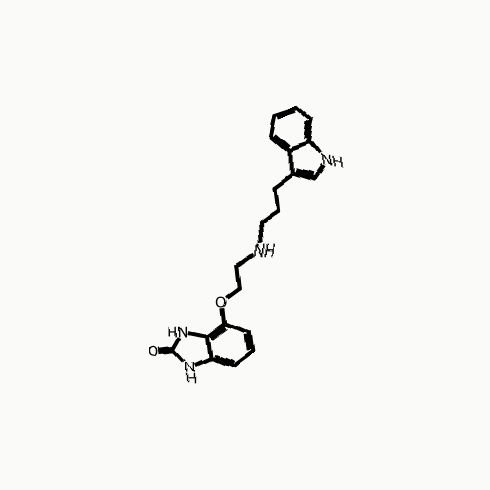 O=c1[nH]c2cccc(OCCNCCCc3c[nH]c4ccccc34)c2[nH]1